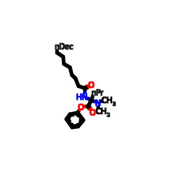 CCCCCCCCCCCCCCCCCC(=O)NC(CCC)(C(=O)Oc1ccccc1)N(C)C